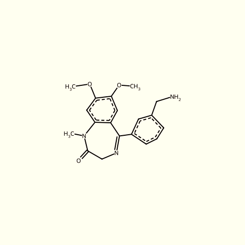 COc1cc2c(cc1OC)N(C)C(=O)CN=C2c1cccc(CN)c1